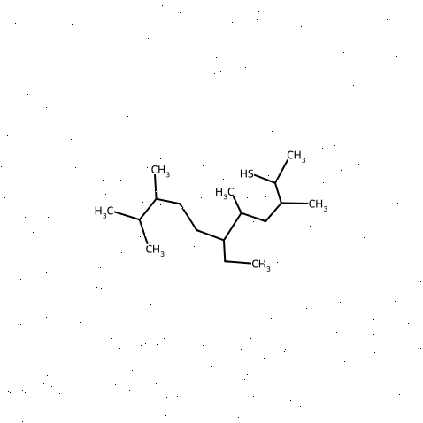 CCC(CCC(C)C(C)C)C(C)CC(C)C(C)S